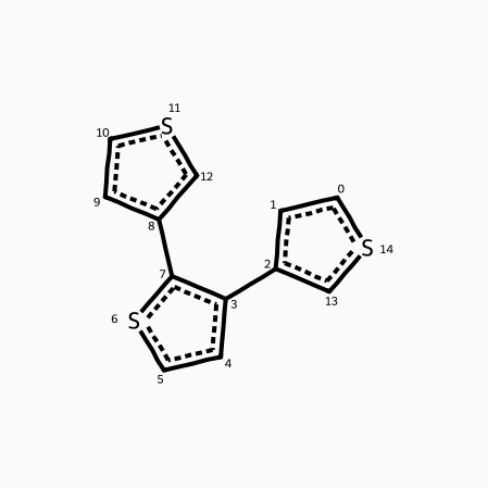 c1cc(-c2ccsc2-c2ccsc2)cs1